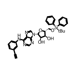 C#Cc1cccc(Nc2ncnc3c2ncn3[C@@H]2O[C@H](CO[Si](c3ccccc3)(c3ccccc3)C(C)(C)C)[C@@H](O)[C@H]2O)c1